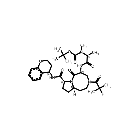 C[C@@H](C(=O)N[C@H]1CN(C(=O)C(C)(C)F)CC[C@H]2CC[C@@H](C(=O)N[C@@H]3CCOc4ccccc43)N2C1=O)N(C)C(=O)OC(C)(C)C